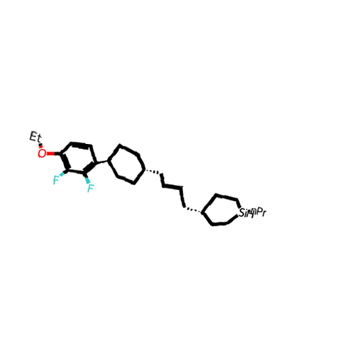 CCC[Si@H]1CC[C@H](CCCC[C@H]2CC[C@H](c3ccc(OCC)c(F)c3F)CC2)CC1